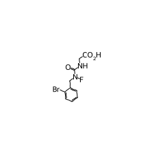 O=C(O)CNC(=O)N(F)Cc1ccccc1Br